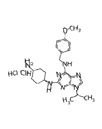 COc1ccc(CNc2nc(NC3CCC(N)CC3)nc3c2ncn3C(C)C)cc1.Cl.Cl